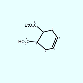 CCOC(=O)C1CC=CCC1C(=O)O